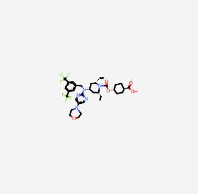 CC[C@@H]1C[C@H](N(Cc2cc(C(F)(F)F)cc(C(F)(F)F)c2)c2ncc(N3CCOCC3)cn2)C[C@H](CC)N1C(=O)O[C@H]1CC[C@H](C(=O)O)CC1